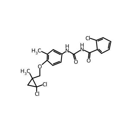 Cc1cc(NC(=O)NC(=O)c2ccccc2Cl)ccc1OCC1(C)CC1(Cl)Cl